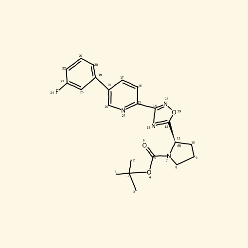 CC(C)(C)OC(=O)N1CCC[C@@H]1c1nc(-c2ccc(-c3cccc(F)c3)cn2)no1